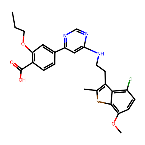 CCCOc1cc(-c2cc(NCCc3c(C)sc4c(OC)ccc(Cl)c34)ncn2)ccc1C(=O)O